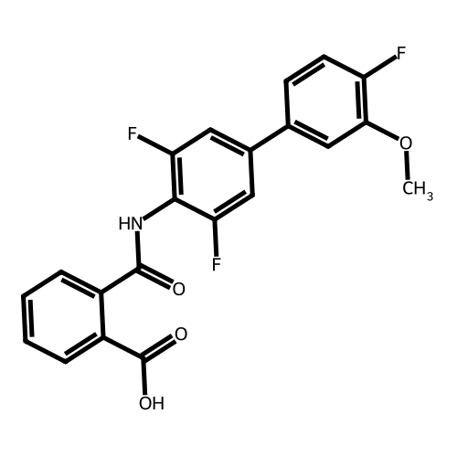 COc1cc(-c2cc(F)c(NC(=O)c3ccccc3C(=O)O)c(F)c2)ccc1F